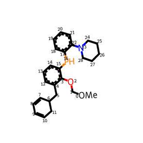 COCOc1c(CC2C=CC=CC2)cccc1Pc1ccccc1N1CCCCC1